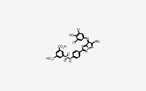 CC(C)(C)C1=Nn2nc(-c3ccc(NS(=O)(=O)c4cc(C(=O)O)cc(C(=O)O)c4)cc3)nc2C1=Nc1cc(Cl)c(O)c(Cl)c1